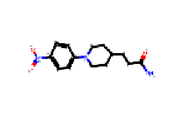 NC(=O)CCC1CCN(c2ccc([N+](=O)[O-])cc2)CC1